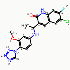 COc1cc(NC(C)c2cc3cc(Cl)c(F)cc3[nH]c2=O)ccc1-n1cnnn1